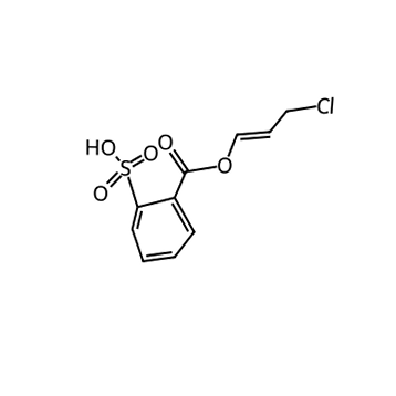 O=C(OC=CCCl)c1ccccc1S(=O)(=O)O